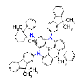 CC1(C)c2ccccc2-c2ccc(N3c4cc(N5c6ccccc6C6(C)CCCCC56C)cc5c4B4c6c3cccc6C(C)(c3ccccc3)c3cccc(c34)N5c3ccc4c(c3)C(C)(C)c3ccccc3-4)cc21